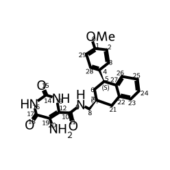 COc1ccc([C@@H]2C[C@H](CNC(=O)c3[nH]c(=O)[nH]c(=O)c3N)Cc3ccccc32)cc1